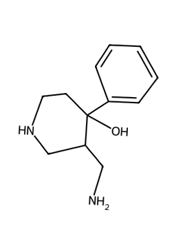 NCC1CNCCC1(O)c1ccccc1